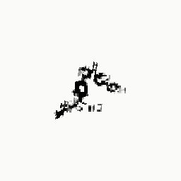 Cc1cc(-c2cc(Nc3ccc(N4CCNCC4)nc3)ncn2)ccc1[C@@H](C)NC(=O)c1nc(C(C)(C)C)no1.Cl